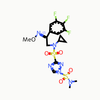 CO/N=C(\CN(C1CC1)S(=O)(=O)c1ncn(S(=O)(=O)N(C)C)n1)c1cc(F)c(F)c(F)c1